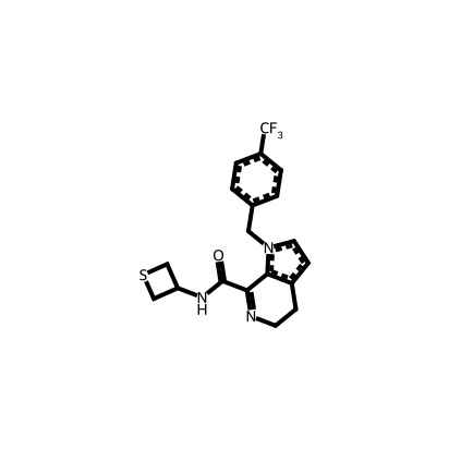 O=C(NC1CSC1)C1=NCCc2ccn(Cc3ccc(C(F)(F)F)cc3)c21